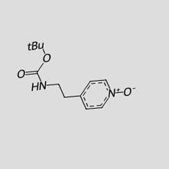 CC(C)(C)OC(=O)NCCc1cc[n+]([O-])cc1